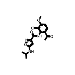 COc1ccc(C(C)=O)c(NC(=O)c2cc(NC(C)C)on2)c1Cl